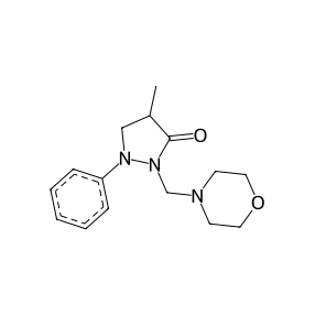 CC1CN(c2ccccc2)N(CN2CCOCC2)C1=O